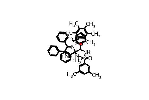 Cc1cc(C)cc(S(=O)(=O)NC(c2ccccc2)C(N)(c2ccccc2)N(C(c2ccccc2)C(N)c2ccccc2)S(=O)(=O)c2c(C)c(C)c(C)c(C)c2C)c1